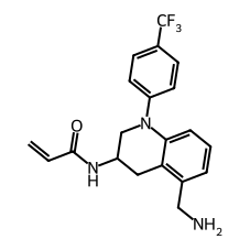 C=CC(=O)NC1Cc2c(CN)cccc2N(c2ccc(C(F)(F)F)cc2)C1